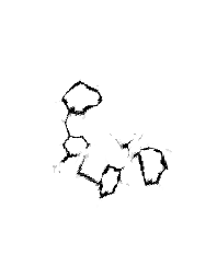 N=C1CC(Cc2ccccc2)CCN1Cc1cccc(N(C(N)=O)c2ccccc2)c1